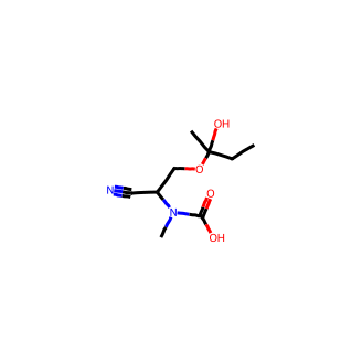 CCC(C)(O)OCC(C#N)N(C)C(=O)O